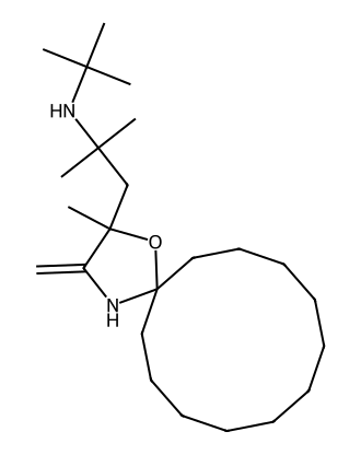 C=C1NC2(CCCCCCCCCCC2)OC1(C)CC(C)(C)NC(C)(C)C